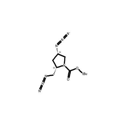 CC(C)(C)OC(=O)N1C[C@@H](N=[N+]=[N-])C[C@H]1CN=[N+]=[N-]